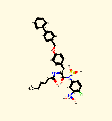 CCCCCC(=O)N[C@@H](Cc1ccc(OCc2ccc(-c3ccccc3)cc2)cc1)C(=O)N(c1ccc(Cl)c([N+](=O)[O-])c1)[SH](=O)=O